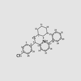 Clc1ccc(C(SC2CCCCC2)c2cccc(-c3ccccc3)n2)cc1